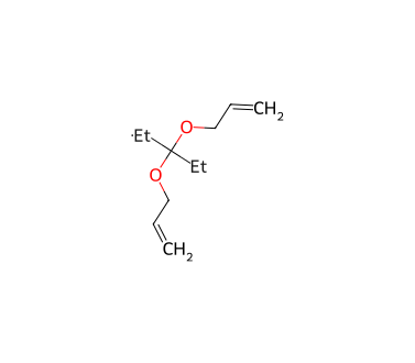 C=CCOC([CH]C)(CC)OCC=C